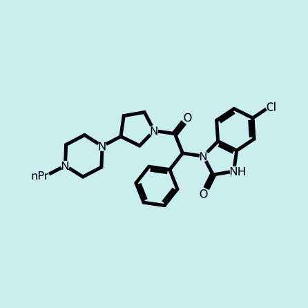 CCCN1CCN(C2CCN(C(=O)C(c3ccccc3)n3c(=O)[nH]c4cc(Cl)ccc43)C2)CC1